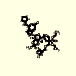 CCOP(=O)(OCC)C(CO)(COCc1nn[nH]n1)OCC1O[C@@H](n2ncc3c(NC4CCCC4)nc(Cl)nc32)[C@@H]2OC(C)(C)O[C@H]12